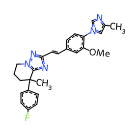 COc1cc(/C=C/c2nc3n(n2)CCCC3(C)c2ccc(F)cc2)ccc1-n1cnc(C)c1